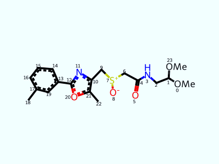 COC(CNC(=O)C[S+]([O-])Cc1nc(-c2cccc(C)c2)oc1C)OC